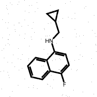 Fc1ccc(NCC2CC2)c2ccccc12